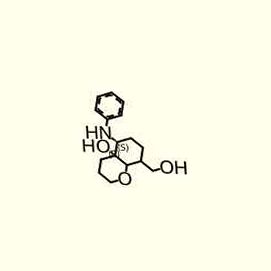 OCC1CC[C@H](Nc2ccccc2)[C@]2(O)CCCOC12